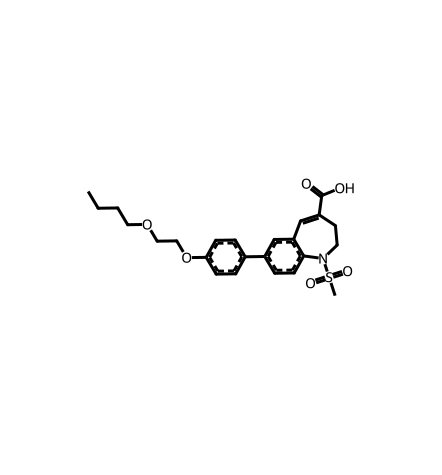 CCCCOCCOc1ccc(-c2ccc3c(c2)C=C(C(=O)O)CCN3S(C)(=O)=O)cc1